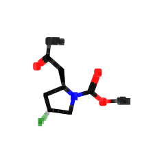 COC(=O)C[C@@H]1C[C@@H](F)CN1C(=O)OC(C)(C)C